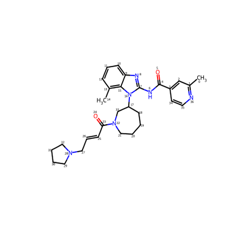 Cc1cc(C(=O)Nc2nc3cccc(C)c3n2C2CCCCN(C(=O)C=CCN3CCCC3)C2)ccn1